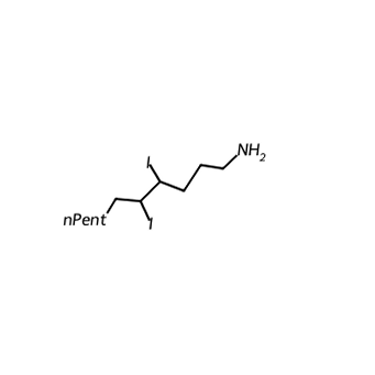 CCCCCCC(I)C(I)CCCN